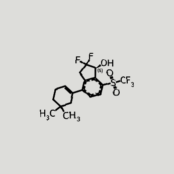 CC1(C)CCC=C(c2ccc(S(=O)(=O)C(F)(F)F)c3c2CC(F)(F)[C@H]3O)C1